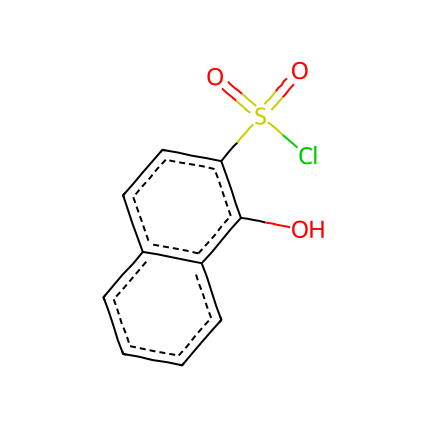 O=S(=O)(Cl)c1ccc2ccccc2c1O